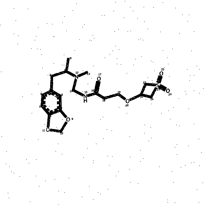 CC(Cc1ccc2c(c1)OCO2)N(C)CNC(=O)CCOC1CS(=O)(=O)C1